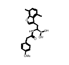 COc1ccc(CC(=O)NC(Cc2coc3c(C)ccc(C)c23)B(O)O)cc1